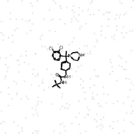 CC(C)(C)NC(=O)NC1CC=C(C(C)(c2cccc(Cl)c2Cl)N2CCNCC2)CC1